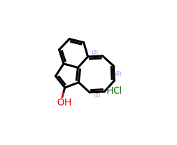 Cl.OC1=Cc2cccc3/c2=C1\C=C/C=C\C=3